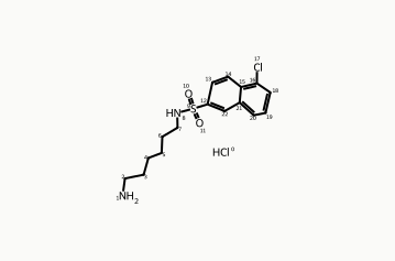 Cl.NCCCCCCNS(=O)(=O)c1ccc2c(Cl)cccc2c1